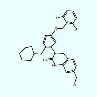 O=C1Nc2cc(CO)ccc2CN1c1cc(OCc2c(F)cccc2F)ccc1CC1CCCCC1